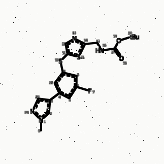 Cn1cc(-c2cc(F)cc(Sc3cnc(CNC(=O)OC(C)(C)C)s3)c2)cn1